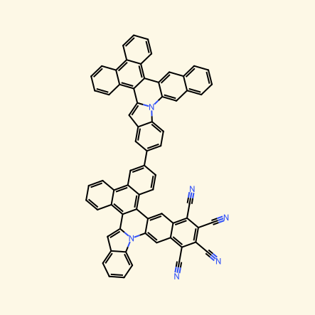 N#Cc1c(C#N)c(C#N)c2cc3c(cc2c1C#N)c1c2ccc(-c4ccc5c(c4)cc4c6c7ccccc7c7ccccc7c6c6cc7ccccc7cc6n54)cc2c2ccccc2c1c1cc2ccccc2n31